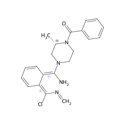 C=N/C(Cl)=c1/cccc/c1=C(/N)N1CCN(C(=O)c2ccccc2)[C@@H](C)C1